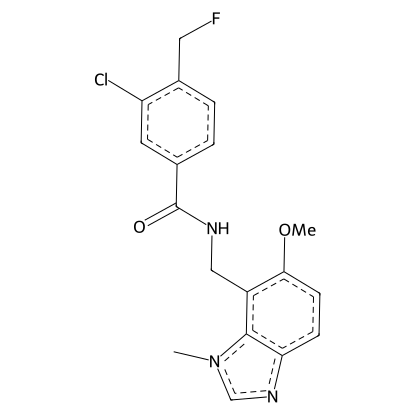 COc1ccc2ncn(C)c2c1CNC(=O)c1ccc(CF)c(Cl)c1